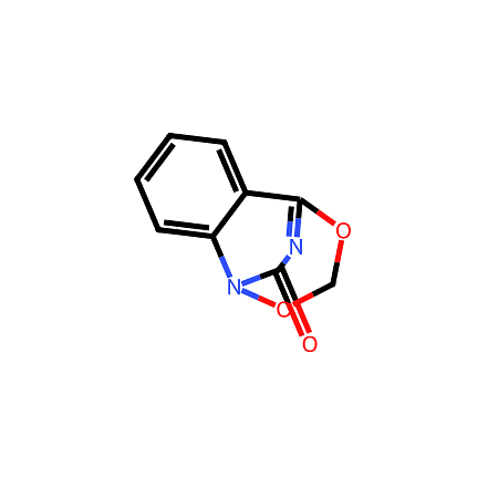 O=c1nc2c3ccccc3n1OCO2